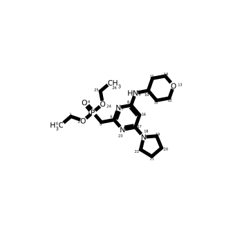 CCOP(=O)(Cc1nc(NC2CCOCC2)cc(N2CCCC2)n1)OCC